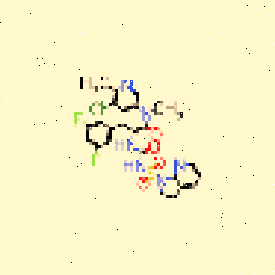 Cc1ncc(N(C)C(=O)[C@H](Cc2cc(F)cc(F)c2)NC(=O)NS(=O)(=O)N2CCc3cccnc32)cc1Cl